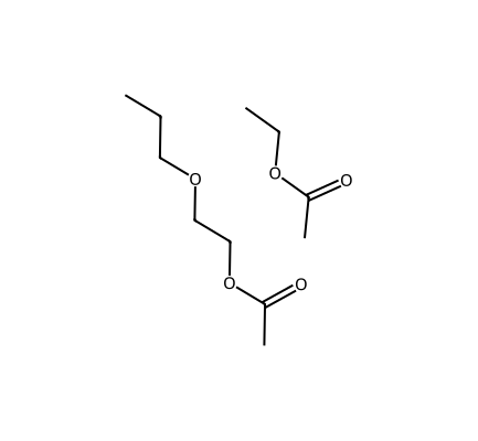 CCCOCCOC(C)=O.CCOC(C)=O